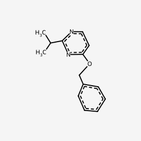 CC(C)c1nccc(OCc2ccccc2)n1